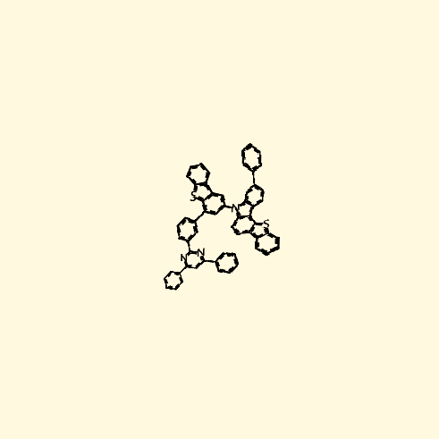 c1ccc(-c2ccc3c4c5sc6ccccc6c5ccc4n(-c4cc(-c5cccc(-c6nc(-c7ccccc7)cc(-c7ccccc7)n6)c5)c5sc6ccccc6c5c4)c3c2)cc1